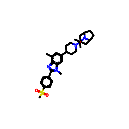 Cc1cc(C2CCN(C3CC4CCC(C3)N4C(C)C)CC2)cc2c1nc(-c1ccc(S(C)(=O)=O)cc1)n2C